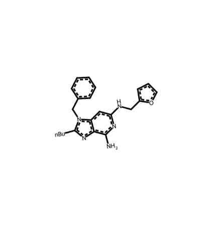 CCCCc1nc2c(N)nc(NCc3ccco3)cc2n1Cc1ccccc1